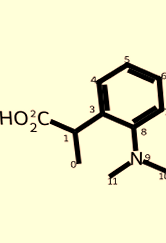 CC(C(=O)O)c1ccccc1N(C)C